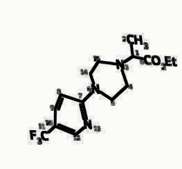 CCOC(=O)C(C)N1CCN(c2ccc(C(F)(F)F)cn2)CC1